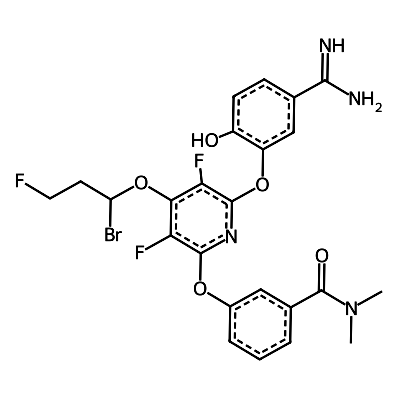 CN(C)C(=O)c1cccc(Oc2nc(Oc3cc(C(=N)N)ccc3O)c(F)c(OC(Br)CCF)c2F)c1